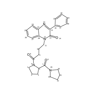 O=C(C1CCCN1C(=O)CCCn1c(=O)c(-c2ccccc2)nc2ccccc21)N1CCCC1